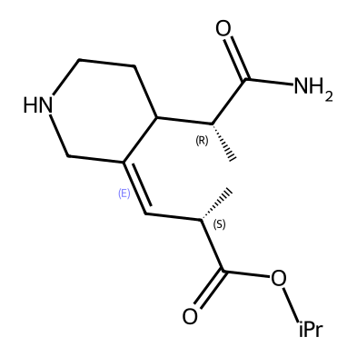 CC(C)OC(=O)[C@@H](C)/C=C1/CNCCC1[C@@H](C)C(N)=O